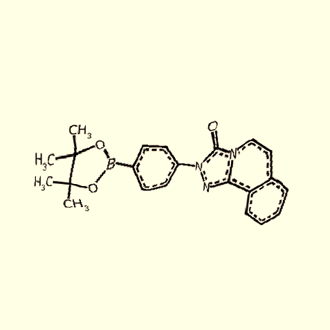 CC1(C)OB(c2ccc(-n3nc4c5ccccc5ccn4c3=O)cc2)OC1(C)C